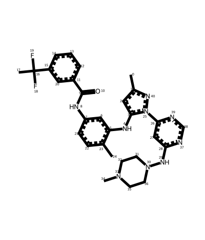 Cc1cc(Nc2cc(NC(=O)c3cccc(C(C)(F)F)c3)ccc2C)n(-c2cc(NN3CCN(C)CC3)ncn2)n1